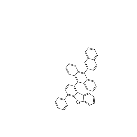 c1ccc(-c2ccc(-c3c4ccccc4c(-c4ccc5ccccc5c4)c4ccccc34)c3c2oc2ccccc23)cc1